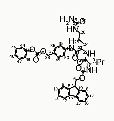 CC(C)[C@H](NC(=O)OCC1c2ccccc2-c2ccccc21)C(=O)N[C@@H](CCCNC(N)=O)C(=O)Nc1ccc(COC(=O)Oc2ccccc2)cc1